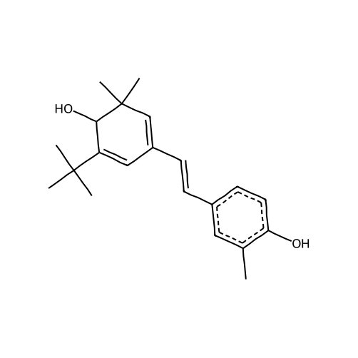 Cc1cc(C=CC2=CC(C)(C)C(O)C(C(C)(C)C)=C2)ccc1O